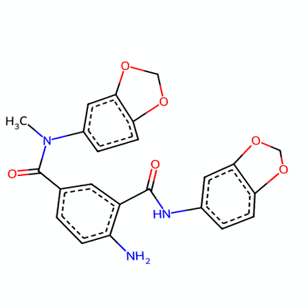 CN(C(=O)c1ccc(N)c(C(=O)Nc2ccc3c(c2)OCO3)c1)c1ccc2c(c1)OCO2